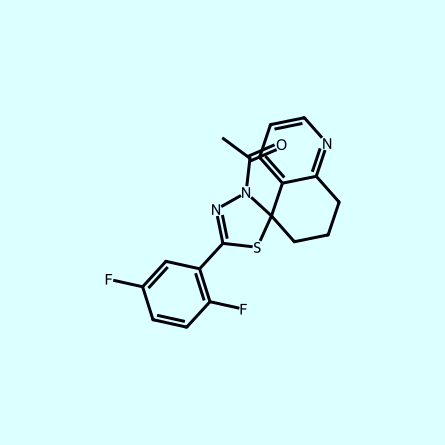 CC(=O)N1N=C(c2cc(F)ccc2F)SC12CCCc1ncccc12